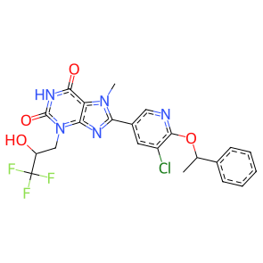 CC(Oc1ncc(-c2nc3c(c(=O)[nH]c(=O)n3CC(O)C(F)(F)F)n2C)cc1Cl)c1ccccc1